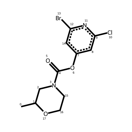 CC1CN(C(=O)Oc2cc(Cl)nc(Br)c2)CCO1